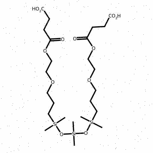 C[Si](C)(CCCOCCOC(=O)CCC(=O)O)O[Si](C)(C)O[Si](C)(C)CCCOCCOC(=O)CCC(=O)O